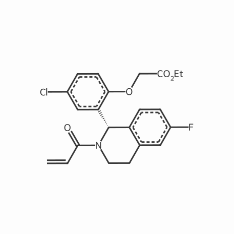 C=CC(=O)N1CCc2cc(F)ccc2[C@H]1c1cc(Cl)ccc1OCC(=O)OCC